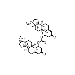 CC(=O)[C@H]1CC[C@H]2[C@@H]3CCC4=CC(=O)CC(OC(=O)OC5CC(=O)C=C6CC[C@H]7[C@@H]8CC[C@H](C(C)=O)[C@@]8(C)CC[C@@H]7[C@]65C)[C@]4(C)[C@H]3CC[C@]12C